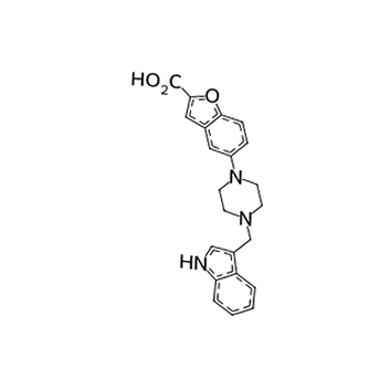 O=C(O)c1cc2cc(N3CCN(Cc4c[nH]c5ccccc45)CC3)ccc2o1